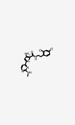 CNc1nccc(-c2cc(N)c(C(=O)NCCc3ccc(Cl)cc3Cl)s2)n1